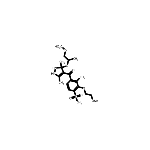 COCCOc1c(S(C)(=O)=O)ccc(C(=O)C2=C(C)NNC2(C)OC(C)COC(=O)O)c1C